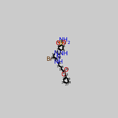 NS(=O)(=O)c1ccc(Nc2ncc(Br)c(NCCCCC(=O)OCc3ccccc3)n2)cc1